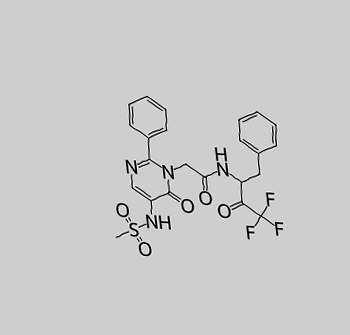 CS(=O)(=O)Nc1cnc(-c2ccccc2)n(CC(=O)NC(Cc2ccccc2)C(=O)C(F)(F)F)c1=O